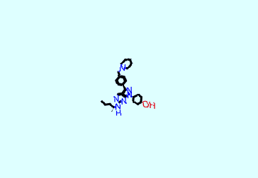 CCC[C@@H](C)Nc1ncc2c(-c3ccc(CN4CCCCC4)cc3)nn([C@H]3CC[C@H](O)CC3)c2n1